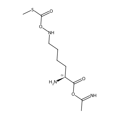 CSC(=O)ONCCCC[C@H](N)C(=O)OC(C)=N